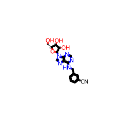 N#Cc1cccc(CNc2ncnc3c2ncn3C2O[C@H](CO)[C@@H](O)[C@H]2O)c1